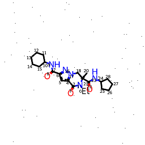 CCN1C(=O)c2cc(C(=O)NC3CCCCC3)nn2CC1(C)C(=O)NC1CCCC1